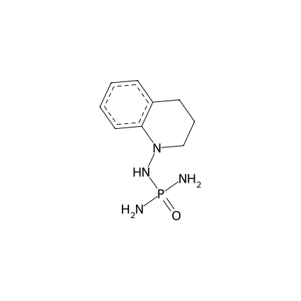 NP(N)(=O)NN1CCCc2ccccc21